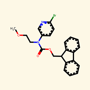 COCCN(C(=O)OCC1c2ccccc2-c2ccccc21)c1ccc(Br)nc1